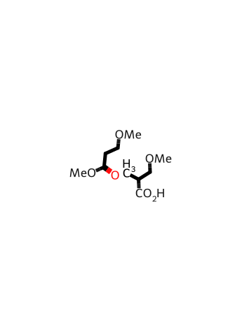 COCC(C)C(=O)O.COCCC(=O)OC